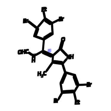 CCc1c(Br)cc(C2=C(C)/C(=C(\NC=O)c3cc(Br)c(CC)c(Br)c3)C(=O)N2)cc1Br